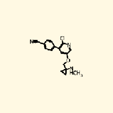 CNC1(COc2cnc(Cl)c(-c3ccc(C#N)cc3)c2)CC1